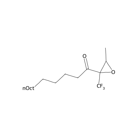 CCCCCCCCCCCCC(=O)C1(C(F)(F)F)OC1C